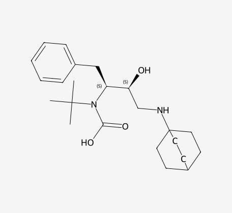 CC(C)(C)N(C(=O)O)[C@@H](Cc1ccccc1)[C@@H](O)CNC12CCC(CC1)CC2